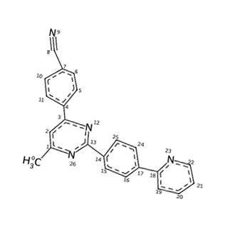 Cc1cc(-c2ccc(C#N)cc2)nc(-c2ccc(-c3ccccn3)cc2)n1